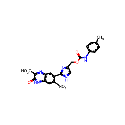 Cc1ccc(NC(=O)OCc2c[nH]c(-c3cc4nc(C(=O)O)c(=O)[nH]c4cc3[N+](=O)[O-])n2)cc1